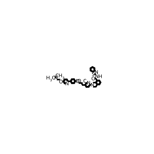 CN(C)CCOc1ccc(-c2ccc(OCCCc3ccc(N4CCc5cccc(C(=O)Nc6nc7ccccc7s6)c5C4)nc3C(=O)O)cc2)nc1